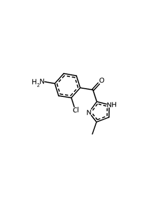 Cc1c[nH]c(C(=O)c2ccc(N)cc2Cl)n1